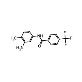 Cc1ccc(NC(=O)c2ccc(C(F)(F)F)cc2)cc1N